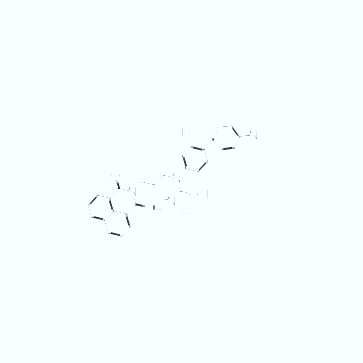 CN(C)C(O)N(CCCN1C(=O)c2cccc3cccc(c23)C1=O)c1ccc(C2(C)C=CC(N)=CC2)cc1